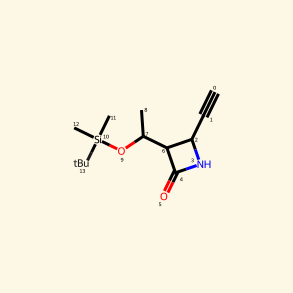 C#CC1NC(=O)C1C(C)O[Si](C)(C)C(C)(C)C